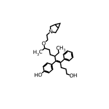 CCC(CCC(C)OCCN1CC2CC2C1)/C(=C(/CCCO)c1ccccc1)c1ccc(O)cc1